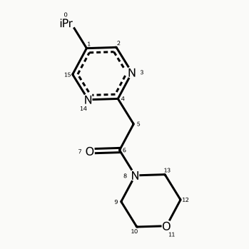 CC(C)c1cnc(CC(=O)N2CCOCC2)nc1